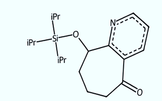 CC(C)[Si](OC1CCCC(=O)c2cccnc21)(C(C)C)C(C)C